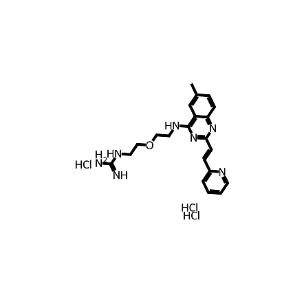 Cc1ccc2nc(C=Cc3ccccn3)nc(NCCOCCNC(=N)N)c2c1.Cl.Cl.Cl